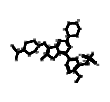 COc1ncc(-c2nc(N3CCOCC3)nc3c(CN4CCC(N(C)C)CC4)c(C)sc23)cc1NS(C)(=O)=O